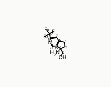 NC1(CO)CCc2cc(C(F)(F)F)ncc21